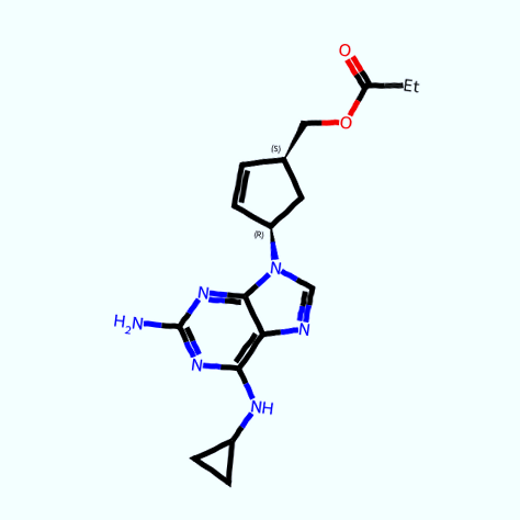 CCC(=O)OC[C@@H]1C=C[C@H](n2cnc3c(NC4CC4)nc(N)nc32)C1